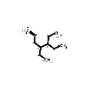 C=CC[C](CC)C(CC)CC